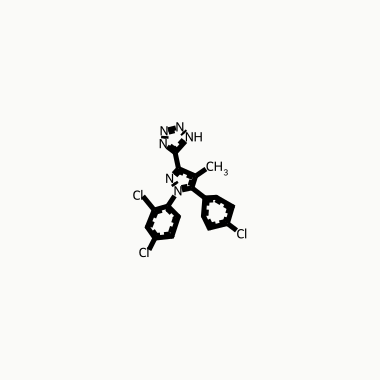 Cc1c(-c2nnn[nH]2)nn(-c2ccc(Cl)cc2Cl)c1-c1ccc(Cl)cc1